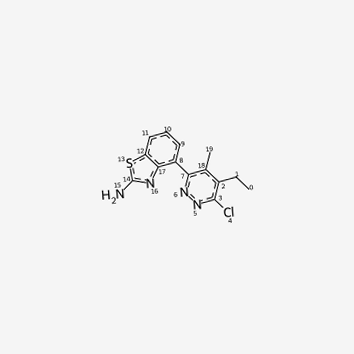 CCc1c(Cl)nnc(-c2cccc3sc(N)nc23)c1C